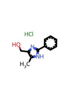 Cc1[nH]c(-c2ccccc2)nc1CO.Cl